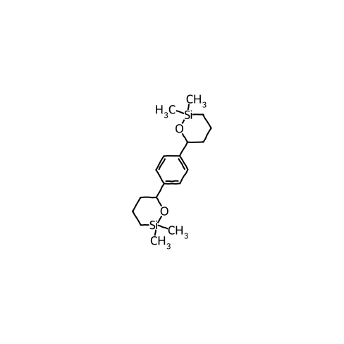 C[Si]1(C)CCCC(c2ccc(C3CCC[Si](C)(C)O3)cc2)O1